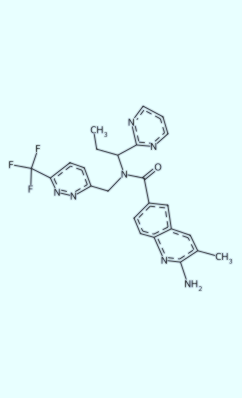 CCC(c1ncccn1)N(Cc1ccc(C(F)(F)F)nn1)C(=O)c1ccc2nc(N)c(C)cc2c1